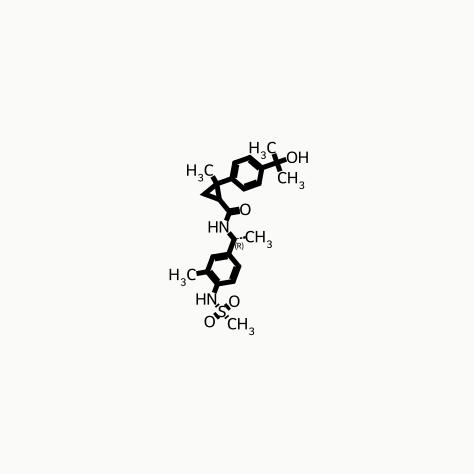 Cc1cc([C@@H](C)NC(=O)C2CC2(C)c2ccc(C(C)(C)O)cc2)ccc1NS(C)(=O)=O